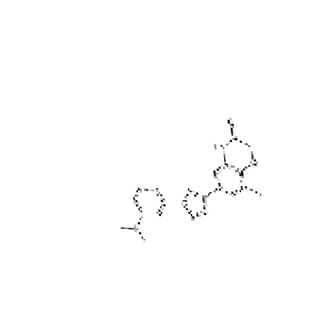 Cc1cc(-c2csc(-c3cccc(N(C)C)c3)n2)cc2c1OCC(=O)N2